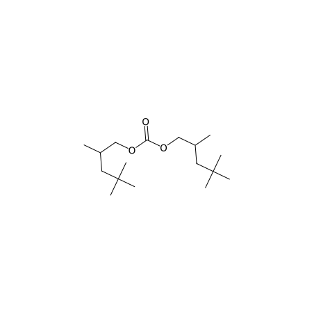 CC(COC(=O)OCC(C)CC(C)(C)C)CC(C)(C)C